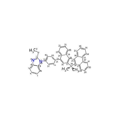 CCc1nc2ccccc2n1-c1ccc(-c2cc3c(c4ccccc24)-c2c(c4ccccc4c4ccccc24)C3(C)C)cc1